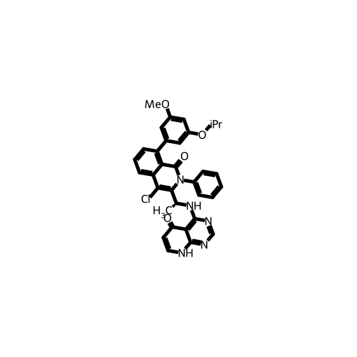 COc1cc(OC(C)C)cc(-c2cccc3c(Cl)c([C@H](C)Nc4ncnc5[nH]ccc(=O)c45)n(-c4ccccc4)c(=O)c23)c1